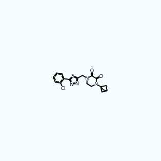 O=C1C(=O)N(C23CC(C2)C3)CCN1Cc1nnc(-c2ccccc2Cl)s1